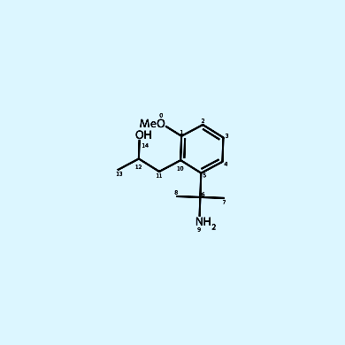 COc1cccc(C(C)(C)N)c1CC(C)O